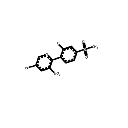 CS(=O)(=O)c1ccc(-c2ncc(Br)cc2[N+](=O)[O-])c(F)c1